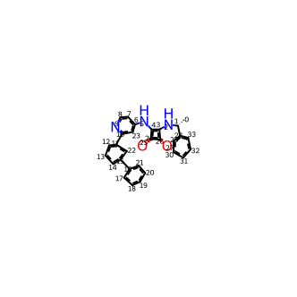 C[C@@H](Nc1c(Nc2ccnc(-c3cccc(-c4ccccc4)c3)c2)c(=O)c1=O)c1ccccc1